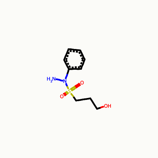 NN(c1ccccc1)S(=O)(=O)CCCO